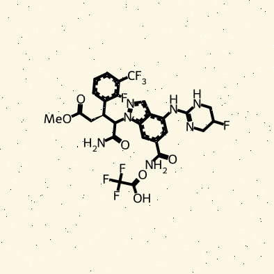 COC(=O)C[C@@H](c1cccc(C(F)(F)F)c1F)C(C(N)=O)n1ncc2c(NC3=NCC(F)CN3)cc(C(N)=O)cc21.O=C(O)C(F)(F)F